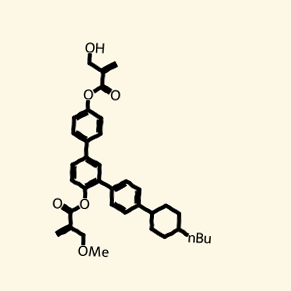 C=C(CO)C(=O)Oc1ccc(-c2ccc(OC(=O)C(=C)COC)c(-c3ccc(C4CCC(CCCC)CC4)cc3)c2)cc1